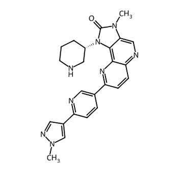 Cn1cc(-c2ccc(-c3ccc4ncc5c(c4n3)n([C@H]3CCCNC3)c(=O)n5C)cn2)cn1